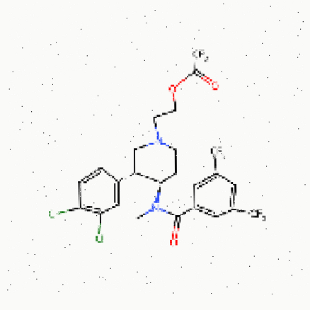 CN(C(=O)c1cc(C(F)(F)F)cc(C(F)(F)F)c1)[C@@H]1CCN(CCOC(=O)C(F)(F)F)C[C@H]1c1ccc(Cl)c(Cl)c1